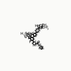 CN(C)C(=O)c1cc2c(F)c(C3=CCCN(C(=O)CCn4cccn4)C3)cc(-c3ccc(N4CCN(C(=O)OC(C)(C)C)CC4)cc3Cl)c2o1